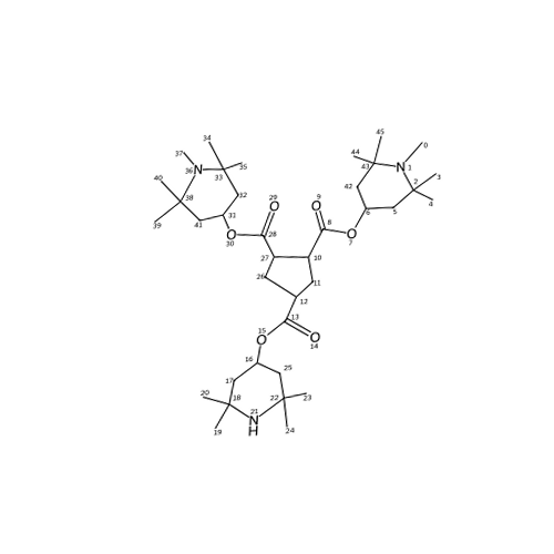 CN1C(C)(C)CC(OC(=O)C2CC(C(=O)OC3CC(C)(C)NC(C)(C)C3)CC2C(=O)OC2CC(C)(C)N(C)C(C)(C)C2)CC1(C)C